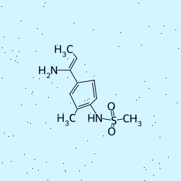 C/C=C(\N)c1ccc(NS(C)(=O)=O)c(C)c1